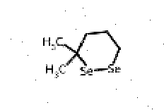 CC1(C)CCC[Se][Se]1